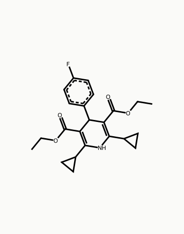 CCOC(=O)C1=C(C2CC2)NC(C2CC2)=C(C(=O)OCC)C1c1ccc(F)cc1